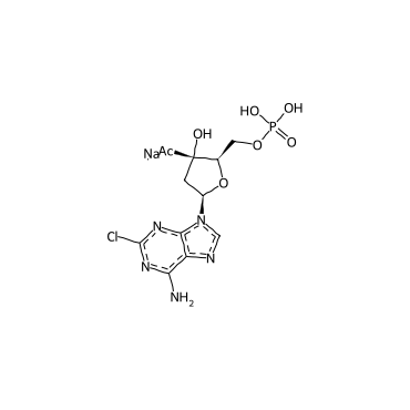 CC(=O)[C@]1(O)C[C@H](n2cnc3c(N)nc(Cl)nc32)O[C@@H]1COP(=O)(O)O.[Na]